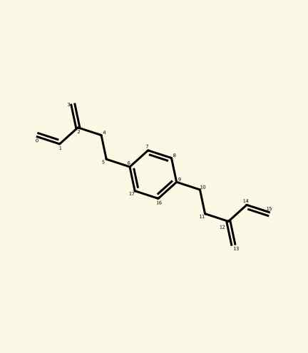 C=CC(=C)CCc1ccc(CCC(=C)C=C)cc1